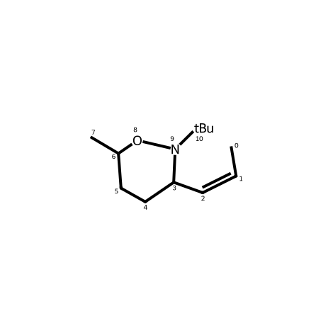 C/C=C\C1CCC(C)ON1C(C)(C)C